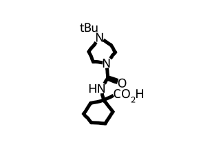 CC(C)(C)N1CCN(C(=O)NC2(C(=O)O)CCCCC2)CC1